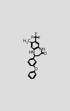 Cc1cc2c(cc1C(F)(F)F)NC(=O)CC(c1cccc(Oc3ccccc3)c1)N2